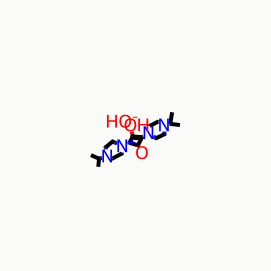 CC(C)N1CCN(c2c(O)c(=[N+]3CCN(C(C)C)CC3)c2=O)CC1.[OH-]